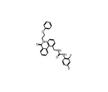 O=C(NCc1ccccc1-c1ccccc1C(=O)NCCOc1ccccc1)Nc1ccc(F)cc1F